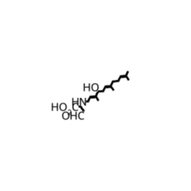 CC(C)=CCC/C(C)=C/CC(O)/C(C)=C/CNC(CC=O)C(=O)O